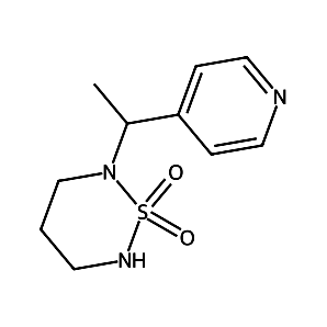 CC(c1ccncc1)N1CCCNS1(=O)=O